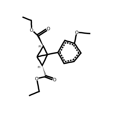 CCOC(=O)[C@@H]1C2[C@@H](C(=O)OCC)C21c1cccc(OC)c1